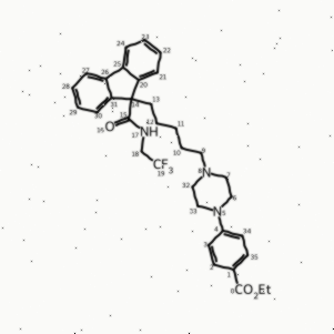 CCOC(=O)c1ccc(N2CCN(CCCCCC3(C(=O)NCC(F)(F)F)c4ccccc4-c4ccccc43)CC2)cc1